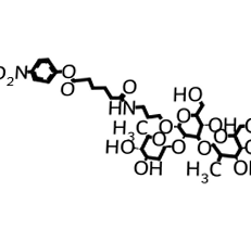 CC1O[C@@H](O[C@H]2C(O[C@H]3OC(CO)[C@H](O)[C@H](O)C3C)[C@@H](O)C(CO)O[C@H]2OCCCNC(=O)CCCCC(=O)Oc2ccc([N+](=O)[O-])cc2)C[C@@H](O)[C@@H]1O